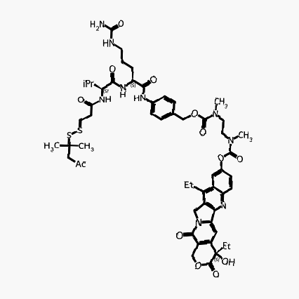 CCc1c2c(nc3ccc(OC(=O)N(C)CCN(C)C(=O)OCc4ccc(NC(=O)[C@H](CCCNC(N)=O)NC(=O)[C@@H](NC(=O)CCSSC(C)(C)CC(C)=O)C(C)C)cc4)cc13)-c1cc3c(c(=O)n1C2)COC(=O)[C@]3(O)CC